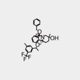 Cc1cc(C(C)OC[C@@]2(c3ccccc3)CCC(C)(O)CN2C(=O)OCc2ccccc2)cc(C(F)(F)F)c1